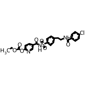 CCOC(=O)Oc1ccc(C(=O)NS(=O)(=O)c2ccc(CCNC(=O)c3ccc(Cl)cc3)cc2)cn1